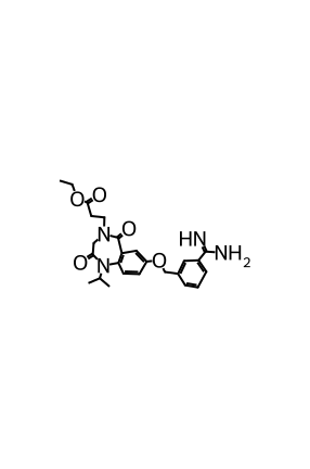 CCOC(=O)CCN1CC(=O)N(C(C)C)c2ccc(OCc3cccc(C(=N)N)c3)cc2C1=O